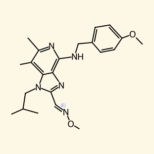 CO/N=C/c1nc2c(NCc3ccc(OC)cc3)nc(C)c(C)c2n1CC(C)C